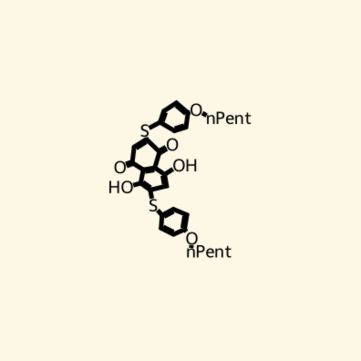 CCCCCOc1ccc(SC2=CC(=O)c3c(O)c(Sc4ccc(OCCCCC)cc4)cc(O)c3C2=O)cc1